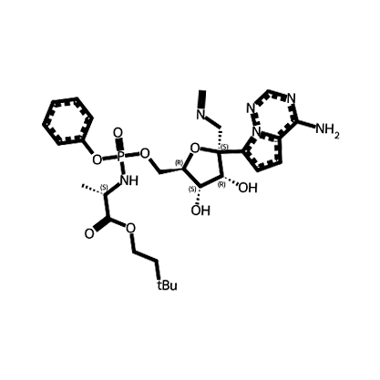 C=NC[C@@]1(c2ccc3c(N)ncnn23)O[C@H](COP(=O)(N[C@@H](C)C(=O)OCCC(C)(C)C)Oc2ccccc2)[C@@H](O)[C@H]1O